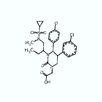 CCC(CN(C)S(=O)(=O)C1CC1)N1C(=O)[C@H](CC(=O)O)CC(c2cccc(Cl)c2)C1c1ccc(Cl)cc1